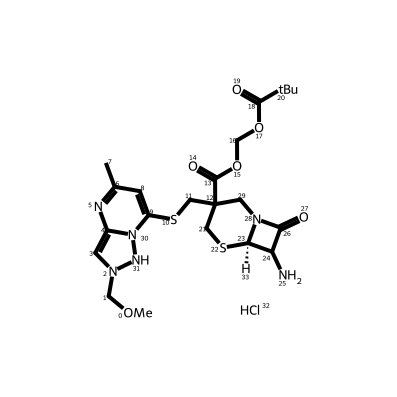 COCN1C=C2N=C(C)C=C(SCC3(C(=O)OCOC(=O)C(C)(C)C)CS[C@@H]4C(N)C(=O)N4C3)N2N1.Cl